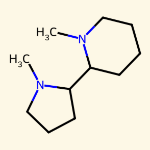 CN1CCCCC1C1CCCN1C